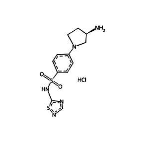 Cl.N[C@@H]1CCN(c2ccc(S(=O)(=O)Nc3ncns3)cc2)C1